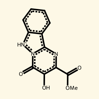 COC(=O)c1nc2c3ccccc3[nH]n2c(=O)c1O